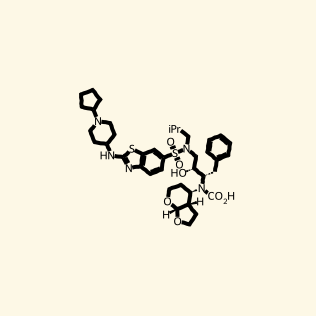 CC(C)CN(C[C@@H](O)[C@H](Cc1ccccc1)N(C(=O)O)[C@H]1CCO[C@H]2OCC[C@H]21)S(=O)(=O)c1ccc2nc(NC3CCN(C4CCCC4)CC3)sc2c1